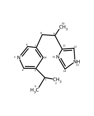 CC(C)c1cncc(CC(C)c2c[nH]cn2)c1